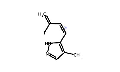 C=C(I)/C=C\c1[nH]ncc1C